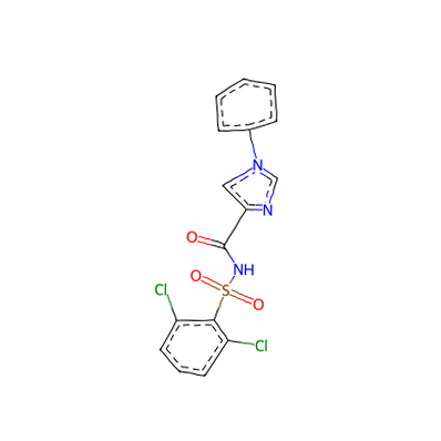 O=C(NS(=O)(=O)c1c(Cl)cccc1Cl)c1cn(-c2ccccc2)cn1